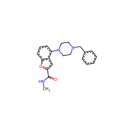 CNC(=O)c1cc2c(N3CCN(Cc4ccccc4)CC3)cccc2o1